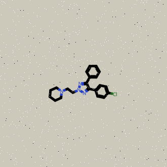 Clc1ccc(-c2nn(CCN3CCCCC3)nc2-c2ccccc2)cc1